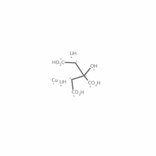 O=C(O)CC(O)(CC(=O)O)C(=O)O.[Cu].[LiH].[LiH]